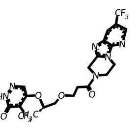 C[C@H](COCCC(=O)N1CCn2c(nc3cc(C(F)(F)F)cnc32)C1)Oc1cn[nH]c(=O)c1C(F)(F)F